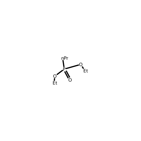 [CH2]CCP(=O)(OCC)OCC